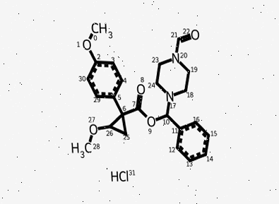 COc1ccc(C2(C(=O)OC(c3ccccc3)N3CCN(C=O)CC3)CC2OC)cc1.Cl